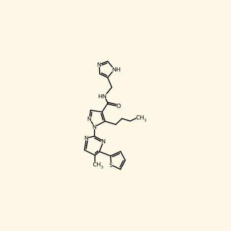 CCCCc1c(C(=O)NCc2cnc[nH]2)cnn1-c1ncc(C)c(-c2cccs2)n1